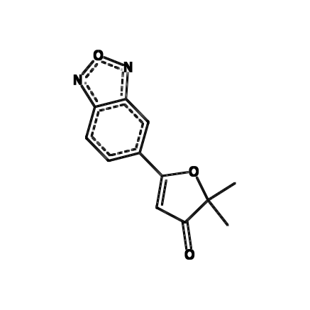 CC1(C)OC(c2ccc3nonc3c2)=CC1=O